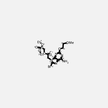 CCOP(=O)(COC(C)Cn1c(Br)nc2c(N)nc(OCCOC)nc21)OCC